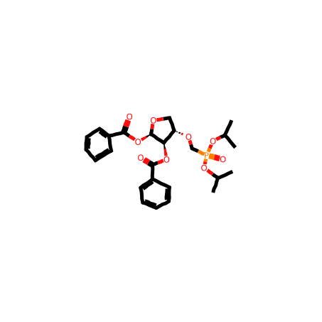 CC(C)OP(=O)(CO[C@H]1CO[C@H](OC(=O)c2ccccc2)[C@@H]1OC(=O)c1ccccc1)OC(C)C